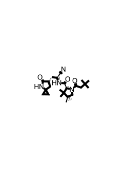 C[C@@H]1CN(C(=O)CC(C)(C)C)[C@H](C(=O)N[C@H](C#N)C[C@@H]2CC3(CC3)NC2=O)C1(C)C